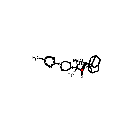 COC(=O)C12CC3CC(C1)C(NC(=S)C(C)(C)N1CCN(c4ccc(C(F)(F)F)cn4)CC1)C(C3)C2